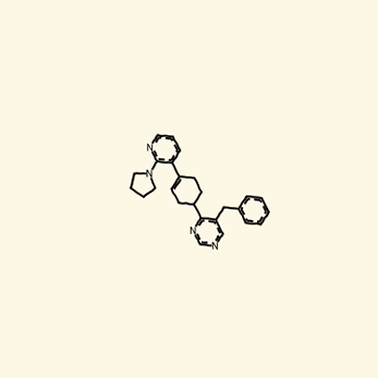 C1=C(c2cccnc2N2CCCC2)CCC(c2ncncc2Cc2ccccc2)C1